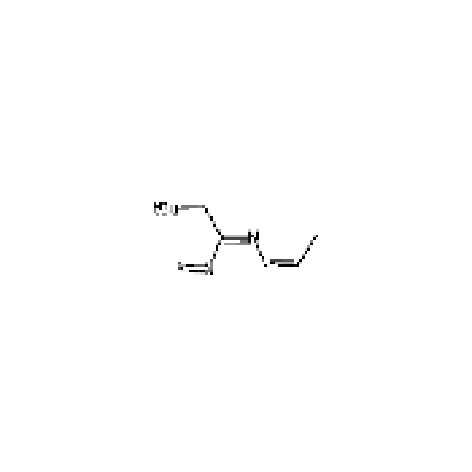 C=N/C(CC(C)(C)C)=N\C=C/C